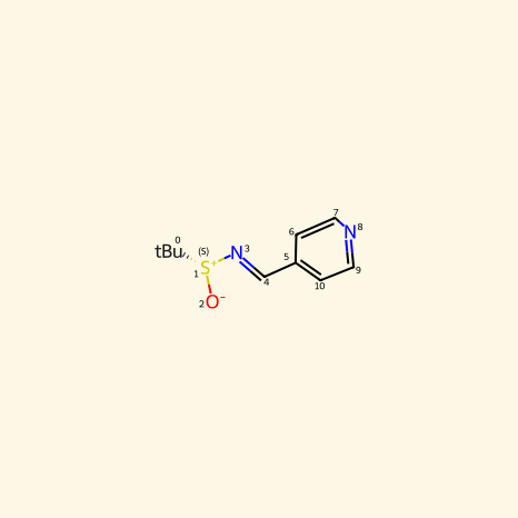 CC(C)(C)[S@@+]([O-])N=Cc1ccncc1